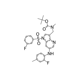 Cc1ccc(Nc2cnc3c(CN(C)C(=O)OC(C)(C)C)cn(S(=O)(=O)c4cccc(F)c4)c3c2)c(F)c1